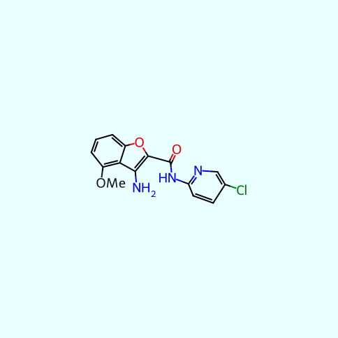 COc1cccc2oc(C(=O)Nc3ccc(Cl)cn3)c(N)c12